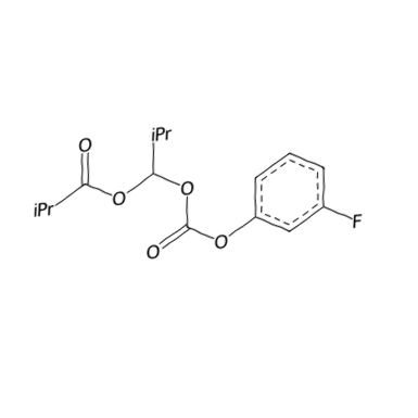 CC(C)C(=O)OC(OC(=O)Oc1cccc(F)c1)C(C)C